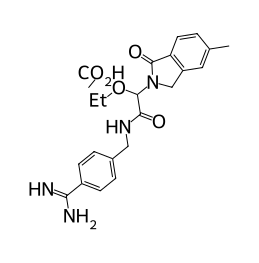 CC(=O)O.CCOC(C(=O)NCc1ccc(C(=N)N)cc1)N1Cc2cc(C)ccc2C1=O